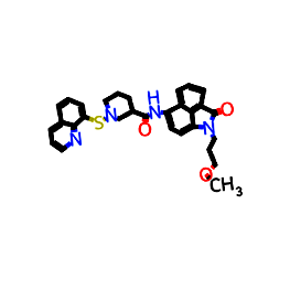 COCCCN1C(=O)c2cccc3c(NC(=O)C4CCCN(Sc5cccc6cccnc56)C4)ccc1c23